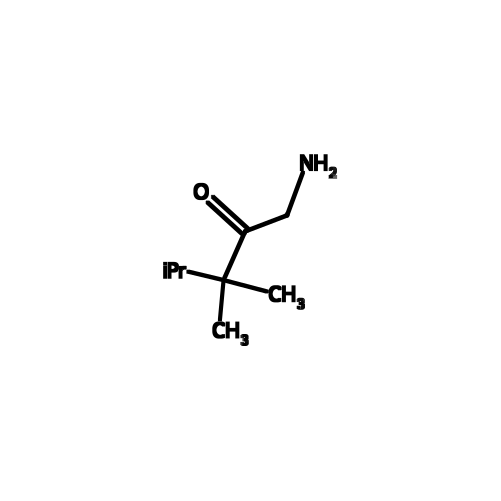 CC(C)C(C)(C)C(=O)CN